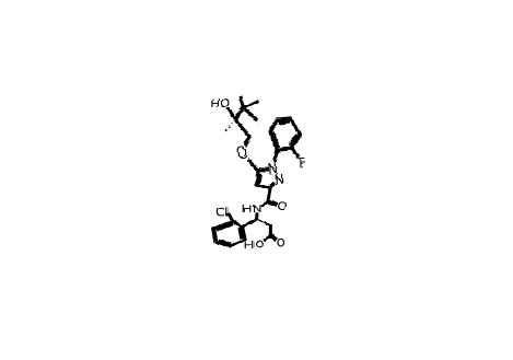 CC(C)(C)[C@](C)(O)COc1cc(C(=O)N[C@@H](CC(=O)O)c2ccccc2Cl)nn1-c1ccccc1F